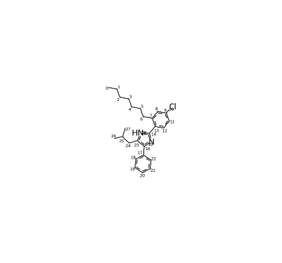 CCCCCCCc1cc(Cl)ccc1-c1nc(-c2ccccc2)c(CC(C)C)[nH]1